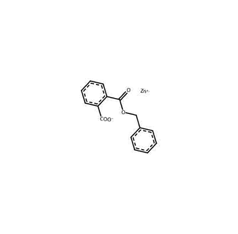 O=C([O-])c1ccccc1C(=O)OCc1ccccc1.[Zn+]